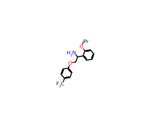 CC(C)Oc1ccccc1C(N)COc1ccc(C(F)(F)F)cc1